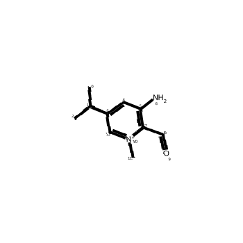 CC(C)c1cc(N)c(C=O)[n+](C)c1